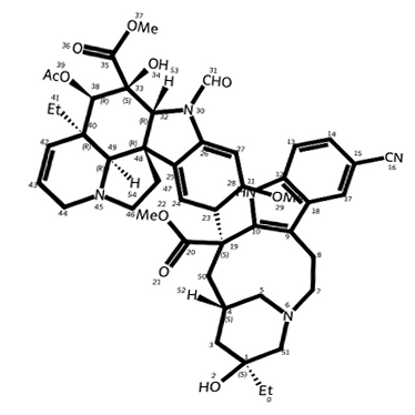 CC[C@]1(O)C[C@H]2CN(CCc3c([nH]c4ccc(C#N)cc34)[C@@](C(=O)OC)(C3C=C4C(=CC3OC)N(C=O)[C@H]3[C@@](O)(C(=O)OC)[C@H](OC(C)=O)[C@]5(CC)C=CCN6CC[C@]43[C@@H]65)C2)C1